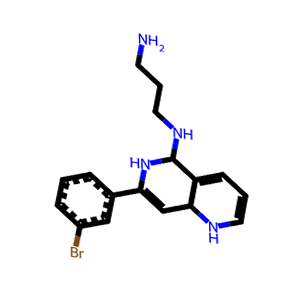 NCCCNC1NC(c2cccc(Br)c2)=CC2NC=CC=C21